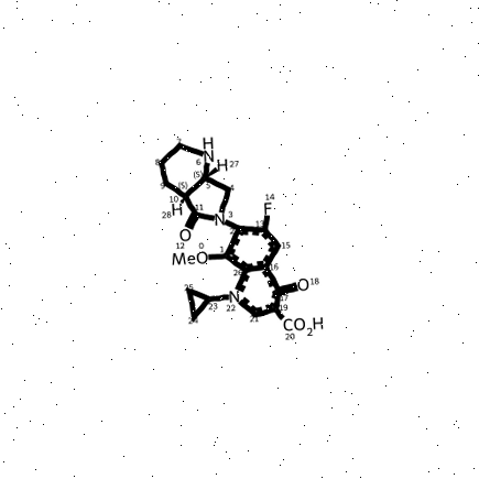 COc1c(N2C[C@H]3NCCC[C@@H]3C2=O)c(F)cc2c(=O)c(C(=O)O)cn(C3CC3)c12